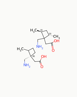 CC1CC[C@@]1(CN)CC(=O)O.C[C@H]1C[C@H](C)C1(CN)CC(=O)O